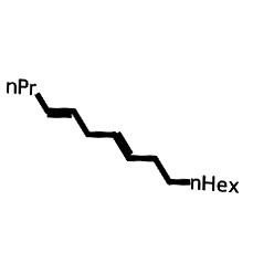 [CH2]CCCCCCCC=CCC=CCCC